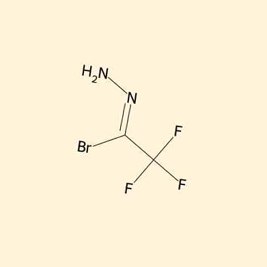 NN=C(Br)C(F)(F)F